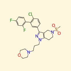 CS(=O)(=O)N1CCc2c(c(-c3ccc(Cl)c(-c4ccc(F)cc4F)c3)nn2CCCN2CCOCC2)C1